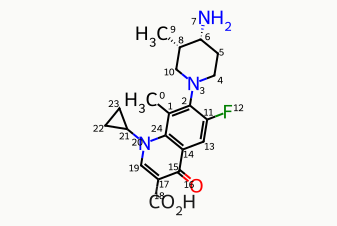 Cc1c(N2CC[C@@H](N)[C@@H](C)C2)c(F)cc2c(=O)c(C(=O)O)cn(C3CC3)c12